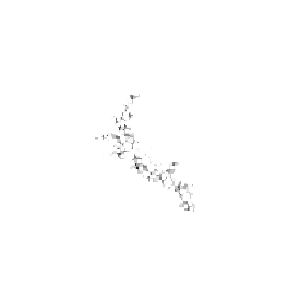 Nc1c(N=Nc2ccc3c(O)c(N=Nc4ccc(N=Nc5cc(S(=O)(=O)O)ccc5C(=O)O)cc4SOOO)c(S(=O)(=O)O)cc3c2S(=O)(=O)O)cc(S(=O)(=O)O)c2cc(SOOO)c(N=Nc3ccc(SOOO)cc3[N+](=O)[O-])c(O)c12